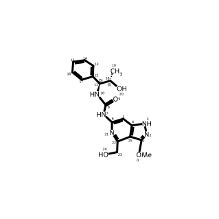 COc1n[nH]c2cc(NC(=O)N[C@@H](c3ccccc3)[C@H](C)O)nc(CO)c12